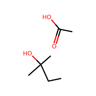 CC(=O)O.CCC(C)(C)O